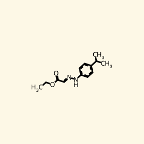 CCOC(=O)C=NNc1ccc(C(C)C)cc1